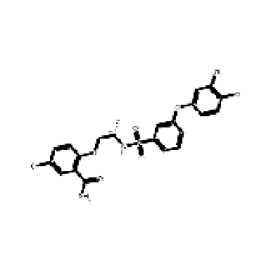 C[C@@H](COc1ccc(Cl)cc1C(N)=O)NS(=O)(=O)c1cccc(Oc2ccc(Cl)c(Cl)c2)c1